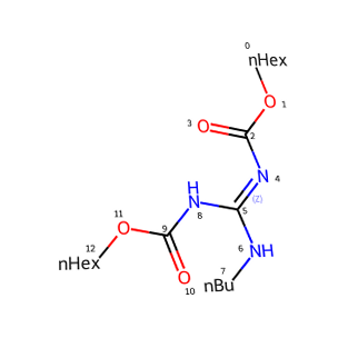 CCCCCCOC(=O)/N=C(/NCCCC)NC(=O)OCCCCCC